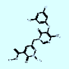 C=C(OCC)c1cc(Cn2cnc(C(F)(F)F)c(Oc3cc(Cl)cc(C#N)c3)c2=O)nn(P)c1=O